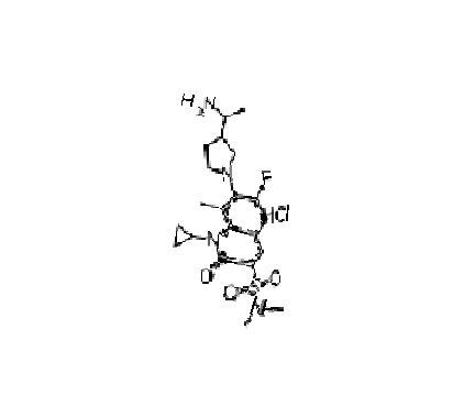 Cc1c(N2CCC([C@H](C)N)C2)c(F)cc2cc(S(=O)(=O)N(C)C)c(=O)n(C3CC3)c12.Cl